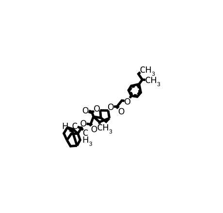 CCC(C)c1ccc(OCC(=O)OC2C3CC4C2OC(=O)C4(C(=O)OC(C)(C)C24CC5CC(CC(C5)C2)C4)C3C)cc1